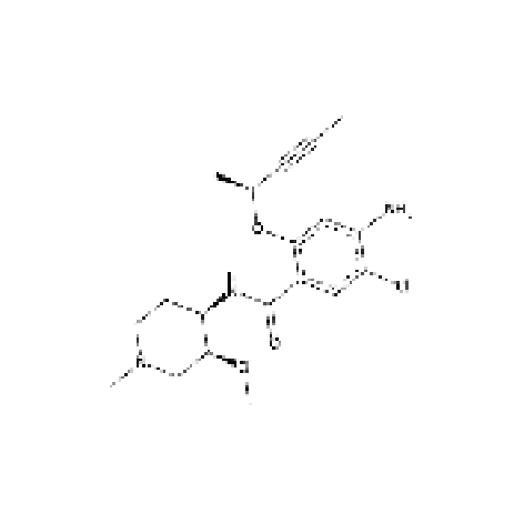 CC#C[C@H](C)Oc1cc(N)c(Cl)cc1C(=O)N[C@@H]1CCN(C)C[C@@H]1OC